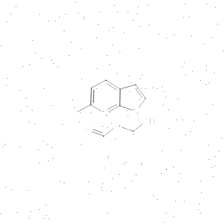 CCOC=O.Clc1ccc2cc[nH]c2n1